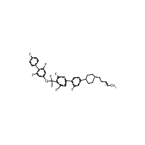 C/C=C/CCC1CCC(c2ccc(-c3cc(F)c(C(F)(F)Oc4cc(F)c(-c5ccc(F)cc5)c(F)c4)c(F)c3)c(F)c2)CC1